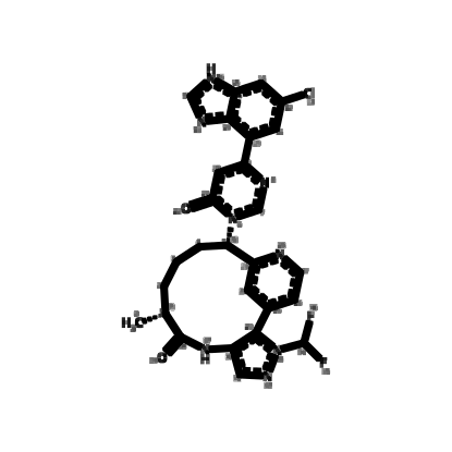 C[C@@H]1CCC[C@H](n2cnc(-c3cc(Cl)cc4[nH]cnc34)cc2=O)c2cc(ccn2)-c2c(cnn2C(F)F)NC1=O